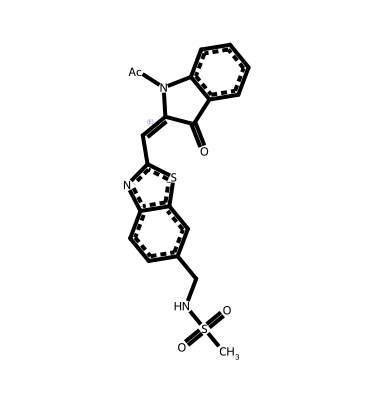 CC(=O)N1/C(=C/c2nc3ccc(CNS(C)(=O)=O)cc3s2)C(=O)c2ccccc21